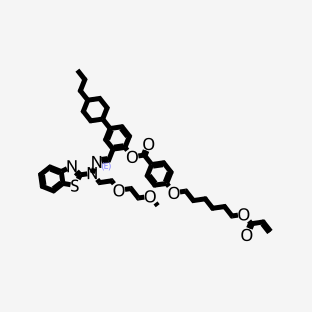 C=CC(=O)OCCCCCCOc1ccc(C(=O)Oc2ccc(C3CCC(CCC)CC3)cc2/C=N/N(CCOCCOC)c2nc3ccccc3s2)cc1